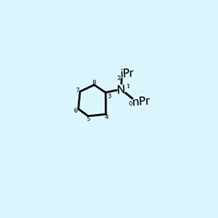 [CH2]CCN(C(C)C)C1CCCCC1